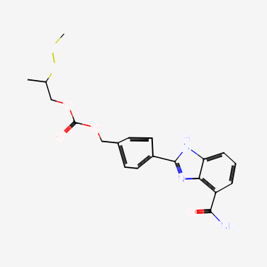 CSSC(C)COC(=O)OCc1ccc(-c2nc3c(C(N)=O)cccc3[nH]2)cc1